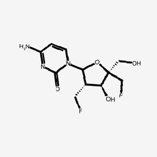 Nc1ccn(C2O[C@@](CO)(CF)[C@@H](O)[C@@H]2CF)c(=O)n1